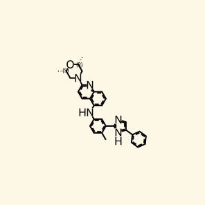 Cc1ccc(Nc2cccc3nc(N4C[C@@H](C)O[C@@H](C)C4)ccc23)cc1-c1ncc(-c2ccccc2)[nH]1